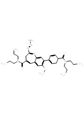 CCCN(CCC)C(=O)C1=Cc2cc(OC)c(C3=CCC(C(=O)N(CCC)CCC)C=C3)cc2N=C(N=NN)C1